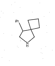 CC(C)C1CNCC12CCC2